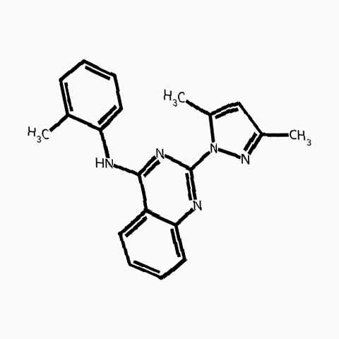 Cc1cc(C)n(-c2nc(Nc3ccccc3C)c3ccccc3n2)n1